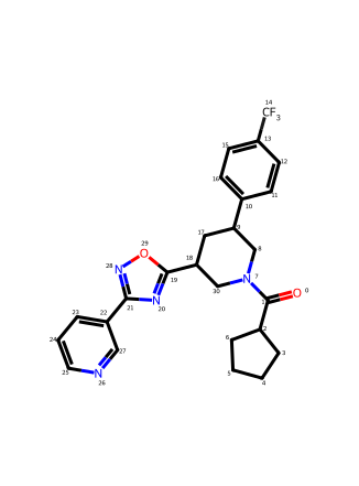 O=C(C1CCCC1)N1CC(c2ccc(C(F)(F)F)cc2)CC(c2nc(-c3cccnc3)no2)C1